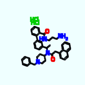 CC(c1cccc(-c2ccccc2C(=O)NCCCN)c1)N(C(=O)Cc1cccc2ccccc12)C1CCN(Cc2ccccc2)CC1.Cl.Cl